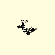 CCOC(=O)/C=C/c1cnc(CN2CCC(c3cccc4c3O[C@@](C)(c3ccc(Cl)cc3F)O4)CC2)c(CC2(C#N)CC2)c1